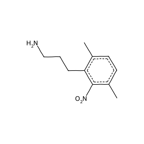 Cc1ccc(C)c([N+](=O)[O-])c1CCCN